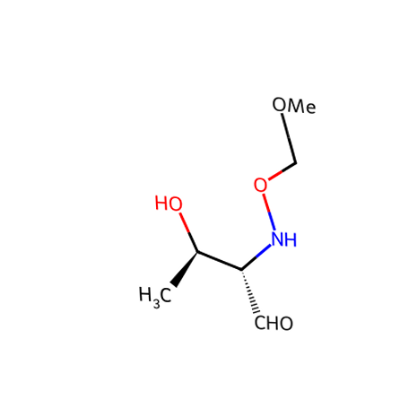 COCON[C@H](C=O)[C@@H](C)O